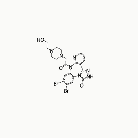 O=C(CN1CCN(CCO)CC1)N1c2cc(Br)c(Br)cc2-n2c(n[nH]c2=O)-c2cccnc21